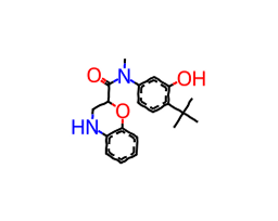 CN(C(=O)C1CNc2ccccc2O1)c1ccc(C(C)(C)C)c(O)c1